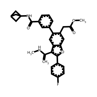 C=C(NC)c1c(-c2ccc(F)cc2)oc2cc(CC(=O)OC)c(-c3cccc(C(=O)NC45CC(C4)C5)c3)cc12